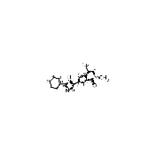 [2H]c1cn(C)c(=O)c2cc(-c3cnc(C4CCCCC4)[nH]3)oc12